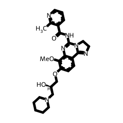 COc1c(OC[C@H](O)CN2CCCCC2)ccc2c1N=C(NC(=O)c1cccnc1C)N1CCN=C21